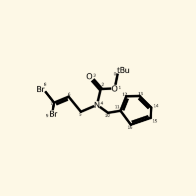 CC(C)(C)OC(=O)N(CC=C(Br)Br)Cc1ccccc1